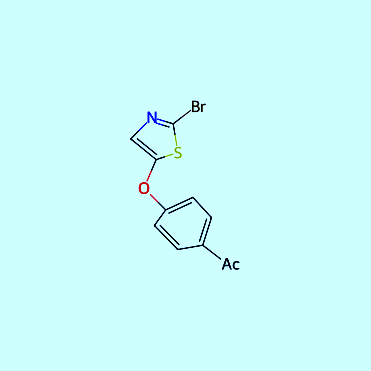 CC(=O)c1ccc(Oc2cnc(Br)s2)cc1